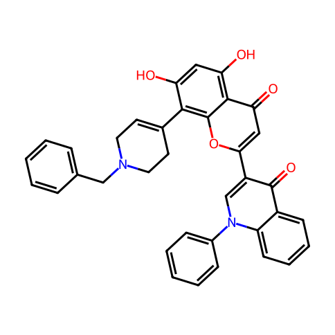 O=c1c(-c2cc(=O)c3c(O)cc(O)c(C4=CCN(Cc5ccccc5)CC4)c3o2)cn(-c2ccccc2)c2ccccc12